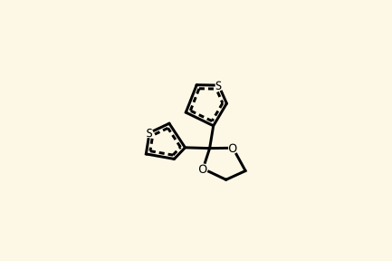 c1cc(C2(c3ccsc3)OCCO2)cs1